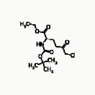 CCOC(=O)[C@H](CCC(=O)CCl)NC(=O)OC(C)(C)C